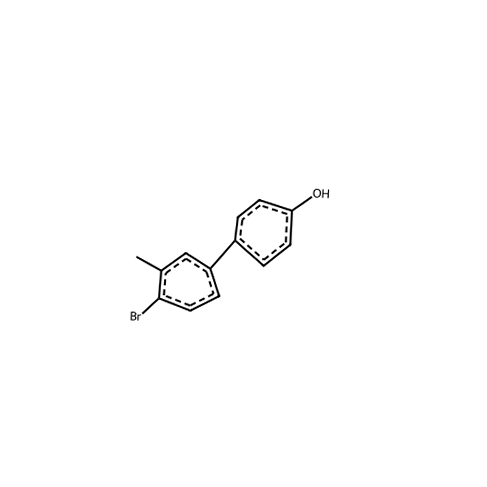 Cc1cc(-c2ccc(O)cc2)ccc1Br